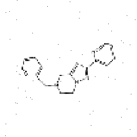 c1ccc(CN2CCn3nc(-c4ccccn4)cc3C2)cc1